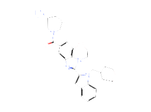 N[C@@H]1CCCN(C(=O)c2cc3c4c(c2)nc(-c2cc5ccccc5n2CC2CCOCC2)n4CCO3)C1